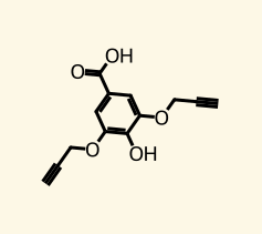 C#CCOc1cc(C(=O)O)cc(OCC#C)c1O